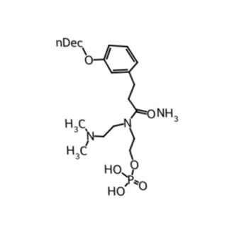 CCCCCCCCCCOc1cccc(CCC(=O)N(CCOP(=O)(O)O)CCN(C)C)c1.N